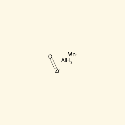 [AlH3].[Mn].[O]=[Zr]